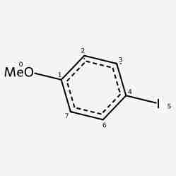 COc1[c][c]c(I)cc1